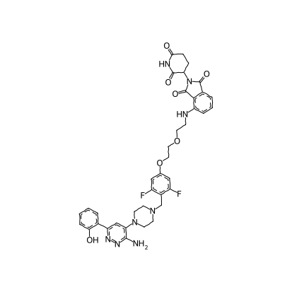 Nc1nnc(-c2ccccc2O)cc1N1CCN(Cc2c(F)cc(OCCOCCNc3cccc4c3C(=O)N(C3CCC(=O)NC3=O)C4=O)cc2F)CC1